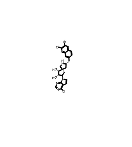 O[C@H]1[C@H](n2ccc3c(Cl)ncnc32)C[C@@]2(CN[C@H](Cc3ccc4cc(Br)c(Cl)nc4c3)C2)[C@H]1O